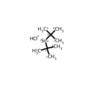 C[C](C)(C)[Sn][C](C)(C)C.Cl